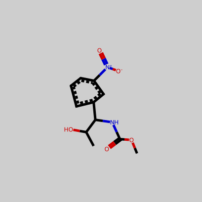 COC(=O)NC(c1cccc([N+](=O)[O-])c1)C(C)O